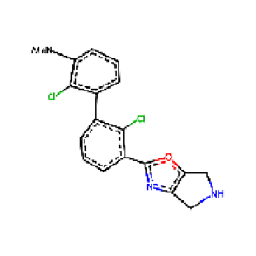 CNc1cccc(-c2cccc(-c3nc4c(o3)CNC4)c2Cl)c1Cl